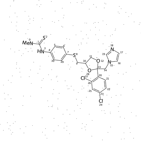 CNC(=S)Nc1ccc(SCC2COC(Cn3ccnc3)(c3ccc(Cl)cc3Cl)O2)cc1